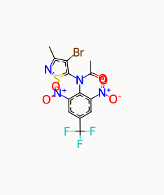 CC(=O)N(c1snc(C)c1Br)c1c([N+](=O)[O-])cc(C(F)(F)F)cc1[N+](=O)[O-]